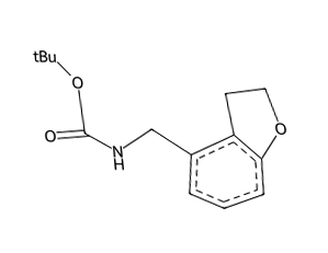 CC(C)(C)OC(=O)NCc1cccc2c1CCO2